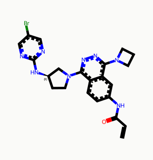 C=CC(=O)Nc1ccc2c(N3CC[C@@H](Nc4ncc(Br)cn4)C3)nnc(N3CCC3)c2c1